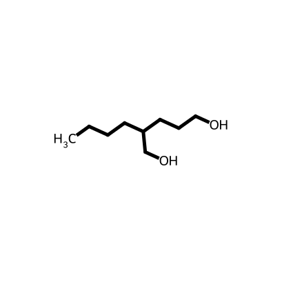 CCCCC(CO)CCCO